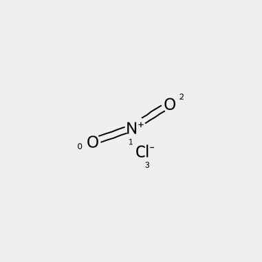 O=[N+]=O.[Cl-]